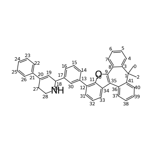 CC1(C)c2ccccc2-c2oc3c(-c4cccc(C5C=C(c6ccccc6)CCN5)c4)cccc3c2-c2ccccc21